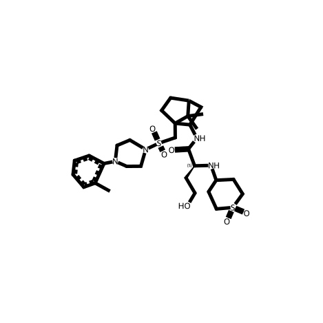 Cc1ccccc1N1CCN(S(=O)(=O)CC23CCC(CC2NC(=O)[C@H](CCO)NC2CCS(=O)(=O)CC2)C3(C)C)CC1